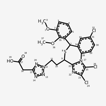 COc1cccc(C2SC(CCn3nnc(CC(=O)O)n3)c3nc(Cl)c(Cl)n3-c3ccc(Cl)cc32)c1OC